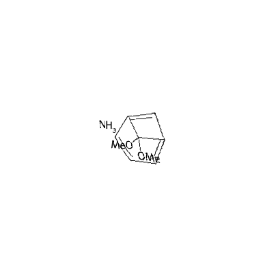 COC1(OC)c2cccc1c2.N